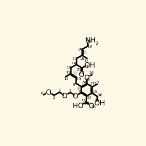 COCCOCOc1c(C/C=C(\C)CC(C/C(C)=C/CN)C(=O)O)c(OC)c(C)c(CO)c1C(=O)O